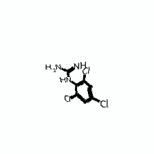 N=C(N)Nc1c(Cl)cc(Cl)cc1Cl